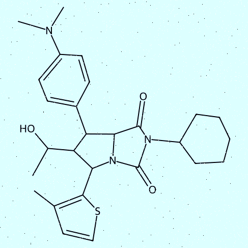 Cc1ccsc1C1C(C(C)O)C(c2ccc(N(C)C)cc2)C2C(=O)N(C3CCCCC3)C(=O)N21